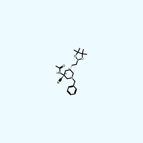 CC(=O)N[C@]1(C#N)C[C@H](CCB2OC(C)(C)C(C)(C)O2)CN(Cc2ccccc2)C1